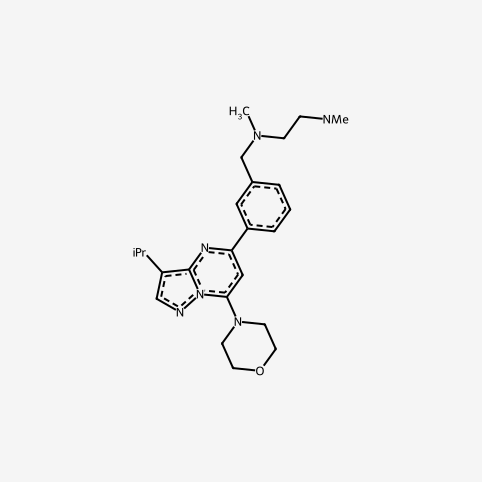 CNCCN(C)Cc1cccc(-c2cc(N3CCOCC3)n3ncc(C(C)C)c3n2)c1